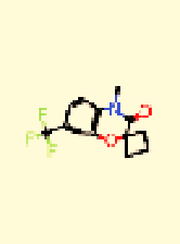 CN1C(=O)C2(CCC2)Oc2cc(C(F)(F)F)ccc21